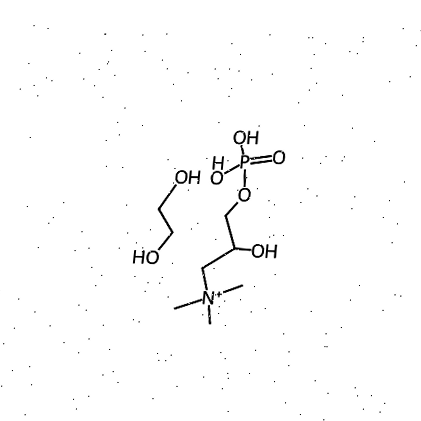 C[N+](C)(C)CC(O)COP(=O)(O)O.OCCO